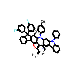 C=Cc1oc2c3c(c(C)c(N(c4ccc(C)cc4)c4ccc5c6ccccc6n(-c6ccccc6)c5c4)c2c1/C=C\C)C(c1cccc(F)c1)(c1cccc(F)c1)c1ccccc1-3